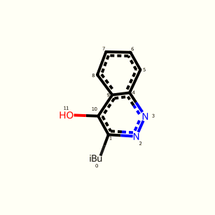 CCC(C)c1nnc2ccccc2c1O